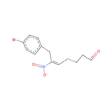 O=CCCC/C=C(\Cc1ccc(Br)cc1)[N+](=O)[O-]